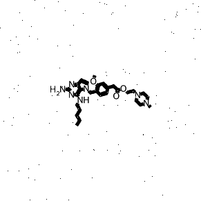 CCCCCNc1nc(N)nc2ccn(Cc3ccc(CC(=O)OCCN4CCN(C)CC4)cc3OC)c12